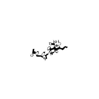 CCCc1nn(C(N)=O)c2c(=O)n(C3CSC(COC(C)=O)O3)nnc12